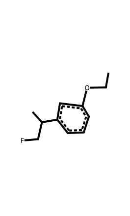 CCOc1cccc([C](C)CF)c1